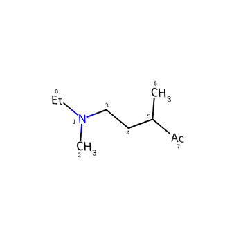 CCN(C)CCC(C)C(C)=O